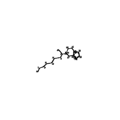 CCCCCCCC(C)N1CCn2ccnc2C1